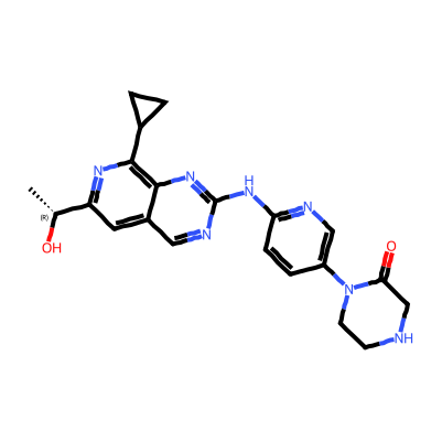 C[C@@H](O)c1cc2cnc(Nc3ccc(N4CCNCC4=O)cn3)nc2c(C2CC2)n1